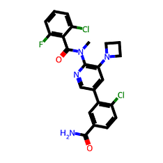 CN(C(=O)c1c(F)cccc1Cl)c1ncc(-c2cc(C(N)=O)ccc2Cl)cc1N1CCC1